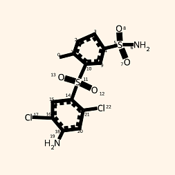 Cc1ccc(S(N)(=O)=O)cc1S(=O)(=O)c1cc(Cl)c(N)cc1Cl